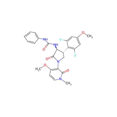 COc1cc(F)c([C@@H]2CN(c3c(OC)ccn(C)c3=O)C(=O)[C@H]2NC(=O)Nc2ccccc2)c(F)c1